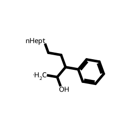 [CH2]C(O)C(CCCCCCCCC)c1ccccc1